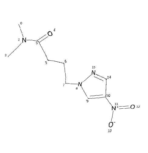 CN(C)C(=O)CCCn1cc([N+](=O)[O-])cn1